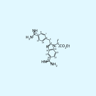 CCOC(=O)C(C)n1c(Cc2ccc(C(=N)N)cc2)nc2cc(C(=N)N)ccc21